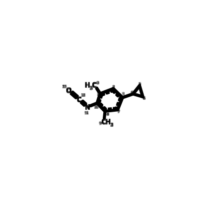 Cc1cc(C2CC2)cc(C)c1N=C=O